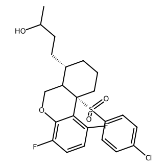 CC(O)CC[C@@H]1CCC[C@@]2(S(=O)(=O)c3ccc(Cl)cc3)c3c(F)ccc(F)c3OCC12